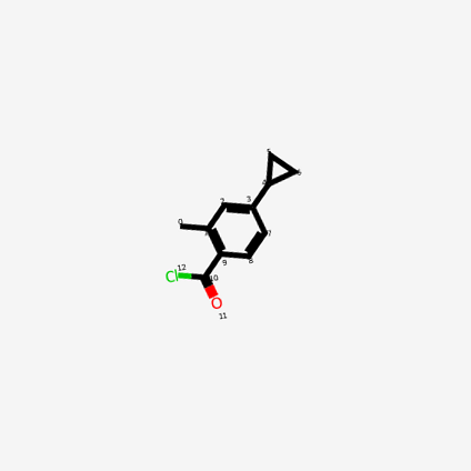 Cc1cc(C2CC2)ccc1C(=O)Cl